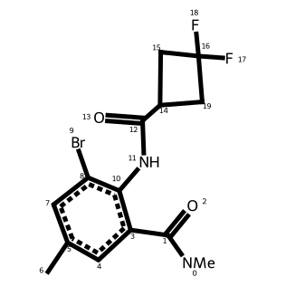 CNC(=O)c1cc(C)cc(Br)c1NC(=O)C1CC(F)(F)C1